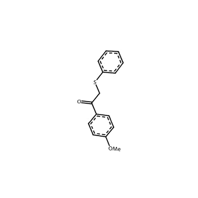 COc1ccc(C(=O)CSc2ccccc2)cc1